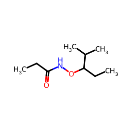 CCC(=O)NOC(CC)C(C)C